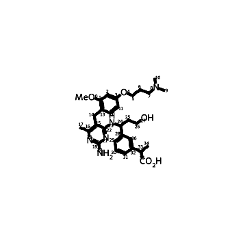 COc1cc(OCCCN(C)C)ccc1Cc1c(C)nc(N)nc1NC(CCO)c1cccc(C(C)C(=O)O)c1